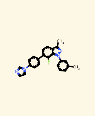 Cc1cccc(-n2nc(C)c3ccc(-c4ccc(-n5ccnc5)cc4)c(F)c32)c1